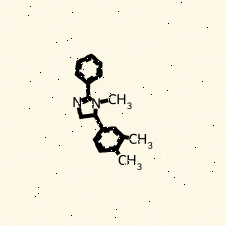 Cc1ccc(C2CN=C(c3ccccc3)N2C)cc1C